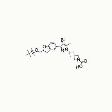 Cc1c(Br)c(-c2ccc3c(c2)CC(CO[Si](C)(C)C(C)(C)C)O3)nn1C1CC2(C1)CN(C(=O)O)C2